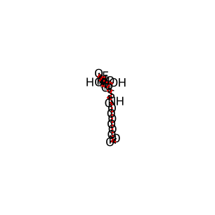 C[C@@]12CO[C@H](c3ccc(Sc4cccc(NC(=O)CCOCCOCCOCCOCCOCCOCCN5C(=O)C=CC5=O)c4)cc3)O[C@@H](C(=O)CO)C[C@H]1[C@@H]1C[C@H](F)C3=CC(=O)C=C=C3[C@@]1(F)[C@@H](O)C2